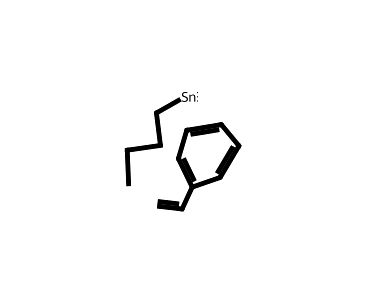 C=Cc1ccccc1.CCC[CH2][Sn]